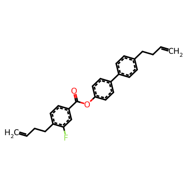 C=CCCc1ccc(-c2ccc(OC(=O)c3ccc(CCC=C)c(F)c3)cc2)cc1